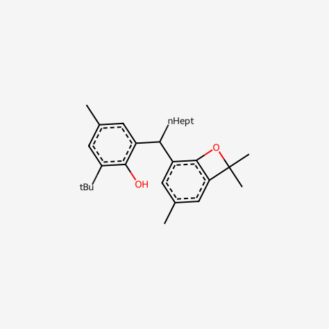 CCCCCCCC(c1cc(C)cc(C(C)(C)C)c1O)c1cc(C)cc2c1OC2(C)C